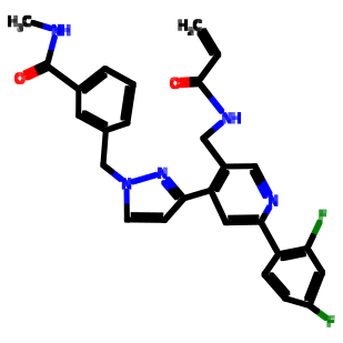 C=CC(=O)NCc1cnc(-c2ccc(F)cc2F)cc1-c1ccn(Cc2cccc(C(=O)NC)c2)n1